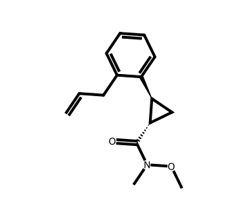 C=CCc1ccccc1[C@H]1C[C@@H]1C(=O)N(C)OC